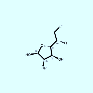 O[C@@H]1[C@H](O)[C@@H]([C@@H](Cl)CCl)O[C@@H]1O